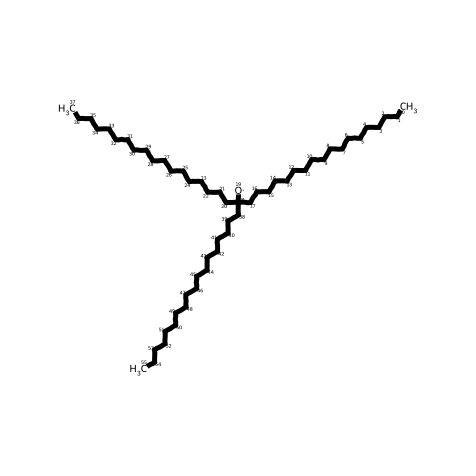 CCCCCCCCCCCCCCCCCCC([O])(CCCCCCCCCCCCCCCCCC)CCCCCCCCCCCCCCCCCC